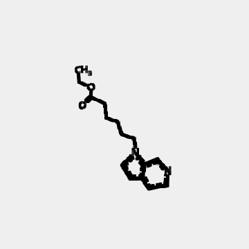 CCOC(=O)CCCCCn1ccc2ccncc21